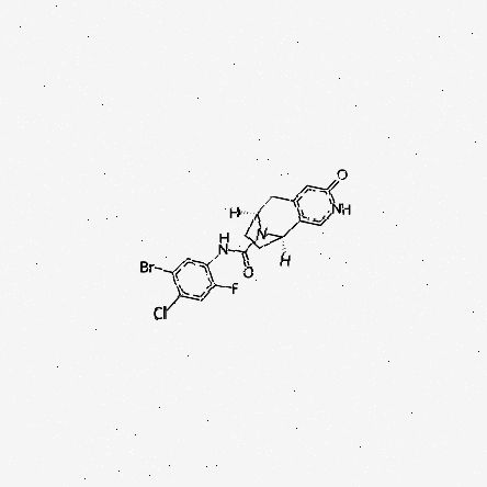 O=C(Nc1cc(Br)c(Cl)cc1F)N1[C@H]2CC[C@@H]1c1c[nH]c(=O)cc1C2